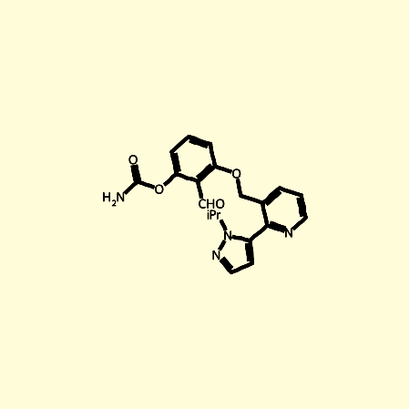 CC(C)n1nccc1-c1ncccc1COc1cccc(OC(N)=O)c1C=O